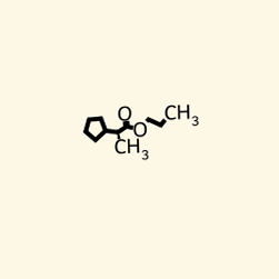 CCCOC(=O)[C@@H](C)C1CCCC1